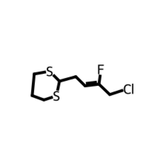 FC(=CCC1SCCCS1)CCl